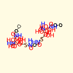 CC(=O)N[C@H]1[C@H]([C@H](O)[C@H](O)CNC(=O)c2ccc(-c3ccccc3)cc2)O[C@@](OCCCSCCNC(=O)c2ccc(C(=O)NCCSCCCO[C@]3(C(=O)O)C[C@H](O)[C@@H](NC(C)=O)[C@H]([C@H](O)[C@H](O)CNC(=O)c4ccc(C5CCCCC5)cc4)O3)cc2)(C(=O)O)C[C@@H]1O